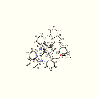 C=C/C=C\C1C=c2c(c3ccccc3n2-c2ccccc2)=CC1c1ccccc1C1=Cc2ccccc2C1c1ccc(-c2nc3ccccc3n2-c2ccccc2)cc1